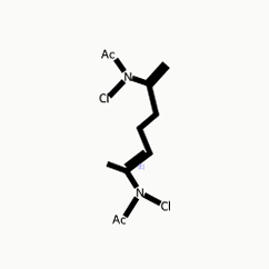 C=C(CC/C=C(\C)N(Cl)C(C)=O)N(Cl)C(C)=O